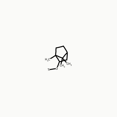 CC1(C)C2CCC1(C)C([O][Ti])C2